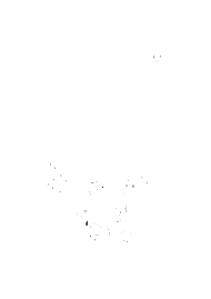 COCCOCCOCCOCCOCCOCCOCCC(=O)N1CCC[C@@H]1c1nccc(COc2ccc3cc2C[C@H](C(=O)OC(C)(C)C)Oc2ncnc4sc(-c5ccc(F)cc5)c(c24)-c2ccc(c(Cl)c2C)O[C@H](CN2CCN(C)CC2)CO3)n1